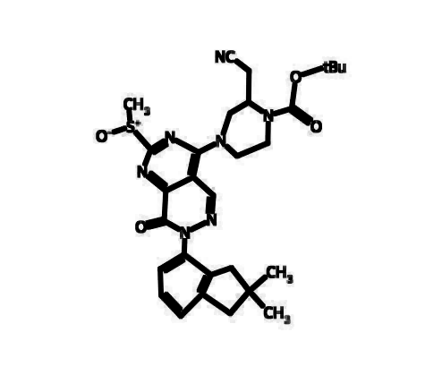 C[S+]([O-])c1nc(N2CCN(C(=O)OC(C)(C)C)C(CC#N)C2)c2cnn(-c3cccc4c3CC(C)(C)C4)c(=O)c2n1